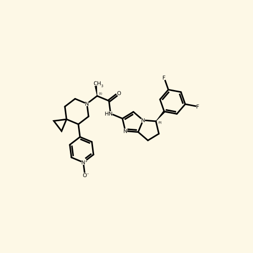 C[C@@H](C(=O)Nc1cn2c(n1)CC[C@@H]2c1cc(F)cc(F)c1)N1CCC2(CC2)C(c2cc[n+]([O-])cc2)C1